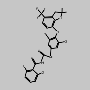 CC1(C)Cc2c(C(F)(F)F)ccc(Oc3c(Cl)cc(NC(=O)NC(=O)c4c(F)cccc4Cl)cc3Cl)c2O1